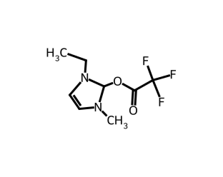 CCN1C=CN(C)C1OC(=O)C(F)(F)F